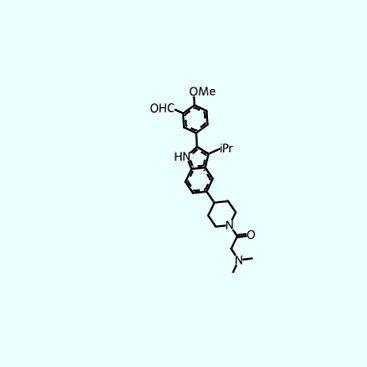 COc1ccc(-c2[nH]c3ccc(C4CCN(C(=O)CN(C)C)CC4)cc3c2C(C)C)cc1C=O